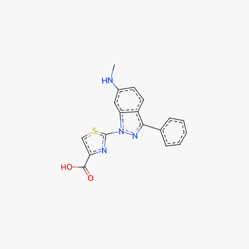 CNc1ccc2c(-c3ccccc3)nn(-c3nc(C(=O)O)cs3)c2c1